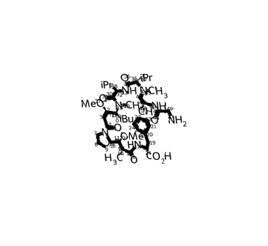 CC[C@H](C)[C@@H]([C@@H](CC(=O)N1CCC[C@H]1[C@H](OC)[C@@H](C)C(=O)N[C@@H](Cc1ccccc1)C(=O)O)OC)N(C)C(=O)C(NC(=O)[C@H](C(C)C)N(C)C[C@@H](C)NC(=O)CN)C(C)C